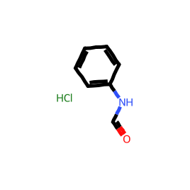 Cl.O=CNc1ccccc1